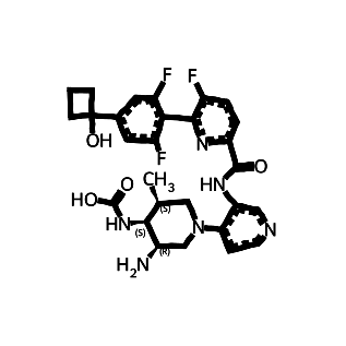 C[C@H]1CN(c2ccncc2NC(=O)c2ccc(F)c(-c3c(F)cc(C4(O)CCC4)cc3F)n2)C[C@@H](N)[C@H]1NC(=O)O